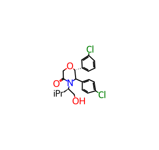 CC(C)[C@H](CO)N1C(=O)CO[C@H](c2cccc(Cl)c2)C1c1ccc(Cl)cc1